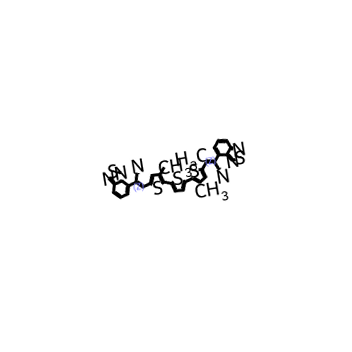 C/C(=C(/C#N)c1cccc2nsnc12)c1cc(C)c(-c2ccc(-c3sc(/C=C(\C#N)c4cccc5nsnc45)cc3C)s2)s1